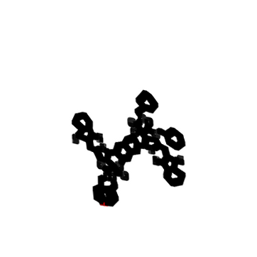 O=C(OCc1ccccc1)C1(C(=O)OCc2ccccc2)OC2=CC3C=C4C(=CC3C=C2C2=C1CC(C=C1C(=S)c3ccccc3C1=S)S2)OC(C(=O)OCc1ccccc1)(C(=O)OCc1ccccc1)C1C=C(C=C2C(=S)C3=CCCC=C3C2=S)SC41